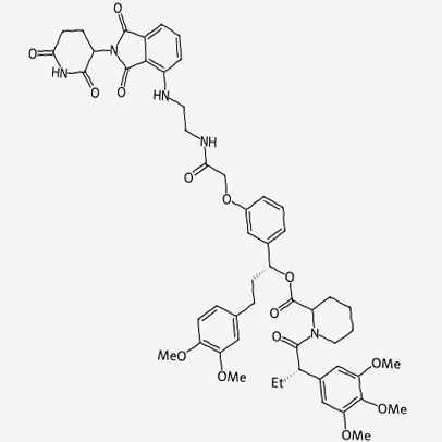 CC[C@H](C(=O)N1CCCCC1C(=O)O[C@H](CCc1ccc(OC)c(OC)c1)c1cccc(OCC(=O)NCCNc2cccc3c2C(=O)N(C2CCC(=O)NC2=O)C3=O)c1)c1cc(OC)c(OC)c(OC)c1